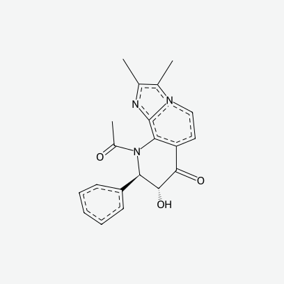 CC(=O)N1c2c(ccn3c(C)c(C)nc23)C(=O)[C@H](O)[C@H]1c1ccccc1